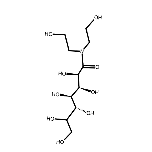 O=C([C@H](O)[C@@H](O)[C@H](O)[C@H](O)C(O)CO)N(CCO)CCO